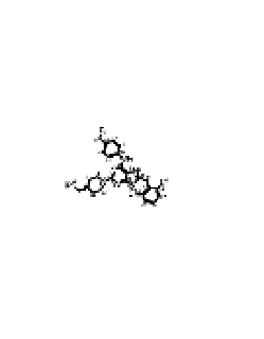 CC(C)CN1CCN(c2nc(Nc3ccc(CF)cc3)c3nc(Cc4c(Cl)cccc4Cl)sc3n2)CC1